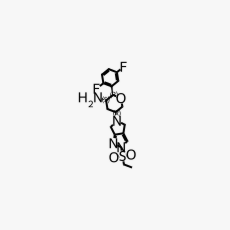 CCS(=O)(=O)n1cc2c(n1)CN([C@H]1CO[C@H](c3cc(F)ccc3F)[C@@H](N)C1)C2